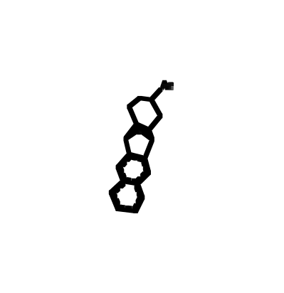 CC(=O)C1CCC2=C(C1)C1OC2c2cc3ccccc3cc21